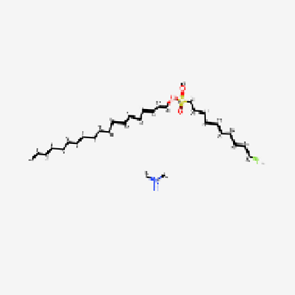 CCCCCCCCCCCCCCCCCCCOS(=O)(=O)CCCCCCCCCCF.CNC